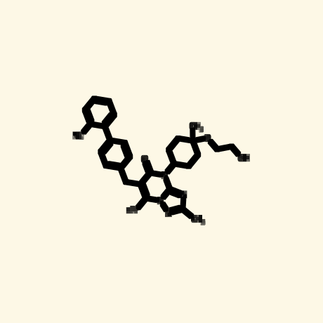 CCCc1c(Cc2ccc(-c3ccccc3C#N)cc2)c(=O)n(C2CCC(C)(OCCO)CC2)c2nc(C)nn12